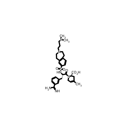 CC1=CCN(C(=O)[C@H](Cc2cccc(C(=N)N)c2)NS(=O)(=O)c2ccc3c(c2)CCN(CCCN(C)C)CC3)[C@@H](C(=O)O)C1